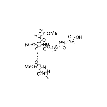 C=C1C[C@H]2C=Nc3cc(OCCCCCOc4cc(NC(=O)OCC(C)(C)SSCCC(=O)NCCNC(=O)CCO)c(C(=O)N5CC(=C)C[C@H]5/C=C(\CC)COC)cc4OC)c(OC)cc3C(=O)N2C1